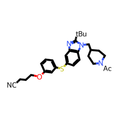 CC(=O)N1CCC(Cn2c(C(C)(C)C)nc3cc(Sc4cccc(OCCCC#N)c4)ccc32)CC1